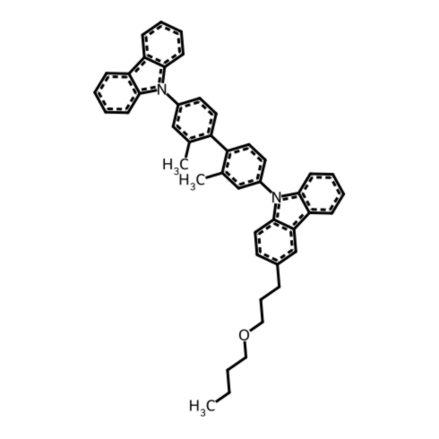 CCCCOCCCc1ccc2c(c1)c1ccccc1n2-c1ccc(-c2ccc(-n3c4ccccc4c4ccccc43)cc2C)c(C)c1